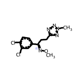 CO/N=C(\CCc1nnn(C)n1)c1ccc(Cl)c(Cl)c1